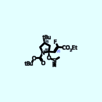 CCOC(=O)/C(F)=C/[C@@]1(O[SiH](C)C)C[C@H](C(C)(C)C)CN1C(=O)OC(C)(C)C